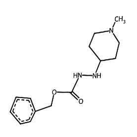 CN1CCC(NNC(=O)OCc2ccccc2)CC1